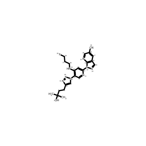 CC(C)(O)CCc1cn(-c2cnc(-n3ncc4cc(C#N)cnc43)cc2NCCCF)nn1